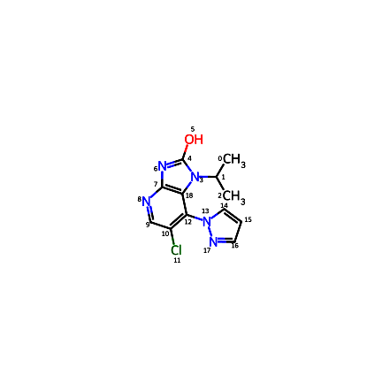 CC(C)n1c(O)nc2ncc(Cl)c(-n3cccn3)c21